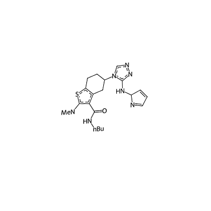 CCCCNC(=O)c1c(NC)sc2c1CC(n1cnnc1NC1C=CC=N1)CC2